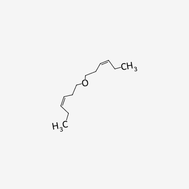 CC/C=C\CCOCC/C=C\CC